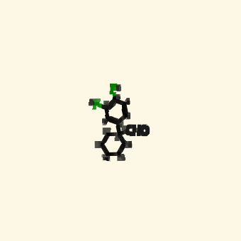 O=CC1(c2ccc(F)c(F)c2)CCCCC1